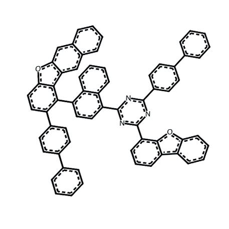 c1ccc(-c2ccc(-c3nc(-c4ccc(-c5c(-c6ccc(-c7ccccc7)cc6)ccc6oc7cc8ccccc8cc7c56)c5ccccc45)nc(-c4cccc5c4oc4ccccc45)n3)cc2)cc1